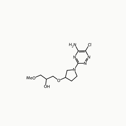 COCC(O)COC1CCN(c2nnc(Cl)c(N)n2)C1